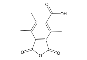 Cc1c(C)c2c(c(C)c1C(=O)O)C(=O)OC2=O